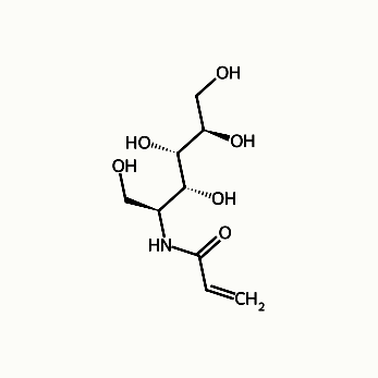 C=CC(=O)N[C@@H](CO)[C@@H](O)[C@H](O)[C@H](O)CO